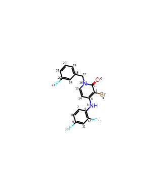 O=c1c(Br)c(Nc2ccc(F)cc2F)ccn1Cc1cccc(F)c1